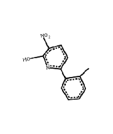 Cc1ccccc1-c1ccc([N+](=O)[O-])c(O)n1